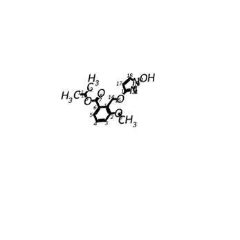 COc1cccc(C(=O)OC(C)C)c1COc1ccn(O)n1